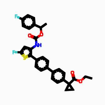 CCOC(=O)C1(c2ccc(-c3ccc(-c4sc(F)cc4NC(=O)OC(C)c4ccc(F)cc4)cc3)cc2)CC1